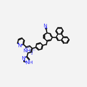 N#CC1C#CC(Cc2ccc(C(/C=C(\N)c3ccccn3)=C/Cc3c[nH]cn3)cc2)=CC(c2cc3ccccc3c3ccccc23)=C1